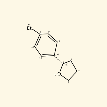 CCc1ccc([C@@H]2CCCO2)cc1